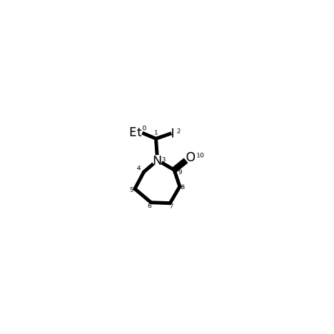 CCC(I)N1CCCCCC1=O